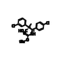 CC(C)(C)OC(=O)N[C@H](c1ccc(Cl)cc1)[C@@](C)(C(=O)O)c1cccc(Cl)c1